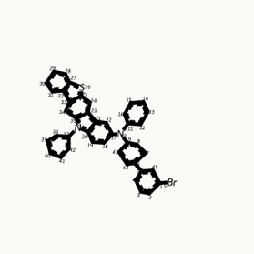 Brc1cccc(-c2ccc(N(c3ccccc3)c3ccc4c(c3)c3cc5sc6ccccc6c5cc3n4-c3ccccc3)cc2)c1